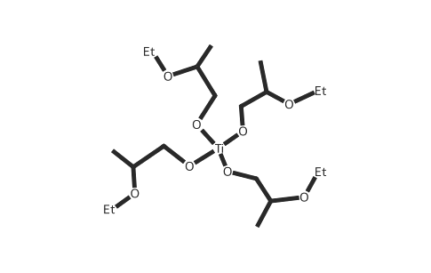 CCOC(C)C[O][Ti]([O]CC(C)OCC)([O]CC(C)OCC)[O]CC(C)OCC